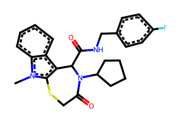 Cn1c2c(c3ccccc31)C(C(=O)NCc1ccc(F)cc1)N(C1CCCC1)C(=O)CS2